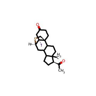 CC(=O)[C@H]1CCC2C3C[C@H]4SC[C@@]5(CCC(=O)C[C@]45I)C3CCC21C